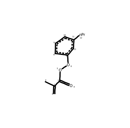 C=C(C)C(=O)OOc1cccc(CCC)c1